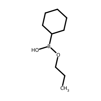 CCCOB(O)C1CCCCC1